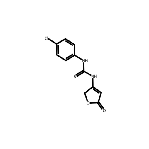 O=C1C=C(NC(=S)Nc2ccc(Cl)cc2)CO1